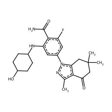 Cc1nn(-c2cc(F)c(C(N)=O)c(NC3CCC(O)CC3)c2)c2c1C(=O)CC(C)(C)C2